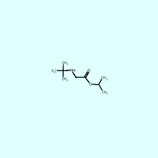 CC(C)OC(=O)CNC(C)(C)C